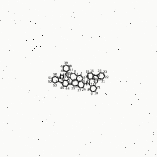 C1=c2ccc3c(N(c4ccccc4)c4cccc5c4oc4ccccc45)ccc4ccc(c2c43)C(Nc2ccccc2)(c2cccc3c2oc2ccccc23)C1